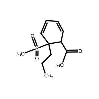 CCCC1(S(=O)(=O)O)C=CC=CC1C(=O)O